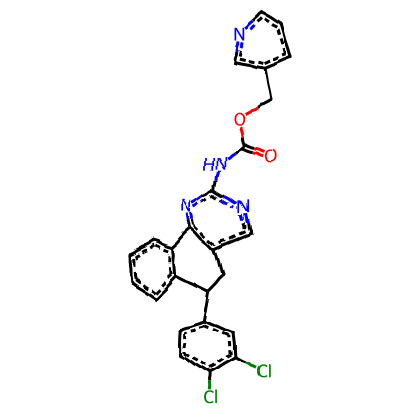 O=C(Nc1ncc2c(n1)-c1ccccc1C(c1ccc(Cl)c(Cl)c1)C2)OCc1cccnc1